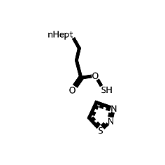 CCCCCCCCCC(=O)OS.c1csnn1